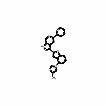 Cc1cn(-c2cccc3[nH]c(-c4n[nH]c5cnc(-c6ccccn6)cc45)cc23)cn1